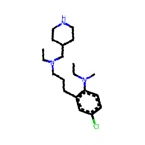 CCN(CCCc1cc(Cl)ccc1N(C)CC)CC1CCNCC1